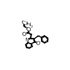 CCOC(=O)CC1=Nc2ccccc2C(=O)C1Cc1ccccc1